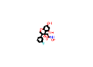 O=C(CC1(O)C(c2cccc(F)c2)=COc2cc(O)cc(O)c21)NO